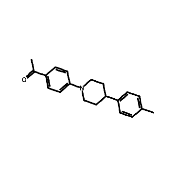 CC(=O)c1ccc(N2CCC(c3ccc(C)cc3)CC2)cc1